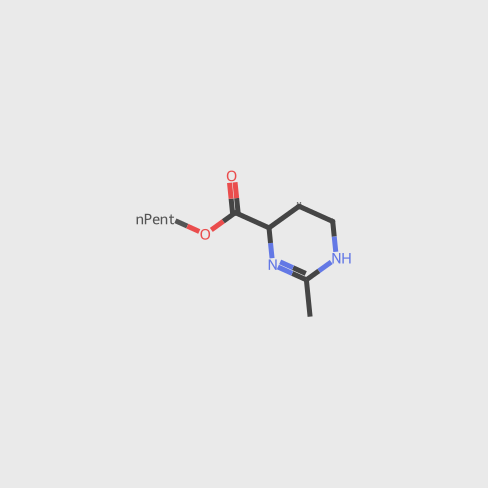 CCCCCOC(=O)C1[C]CNC(C)=N1